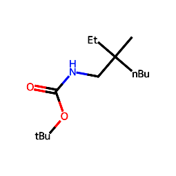 CCCCC(C)(CC)CNC(=O)OC(C)(C)C